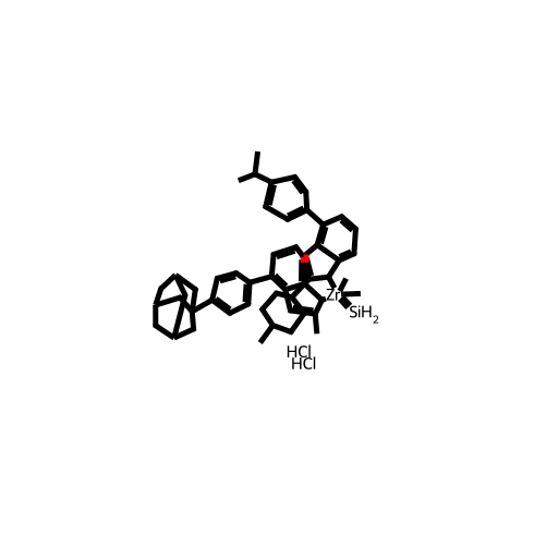 CC1=Cc2c(-c3ccc(C45CC6CC(CC(C6)C4)C5)cc3)cccc2[CH]1[Zr]([CH3])([CH3])(=[SiH2])[CH]1C(C2CCC(C)CC2)=Cc2c(-c3ccc(C(C)C)cc3)cccc21.Cl.Cl